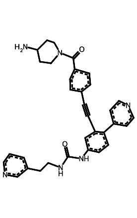 NC1CCN(C(=O)c2ccc(C#Cc3cc(NC(=O)NCCc4cccnc4)ccc3-c3ccncc3)cc2)CC1